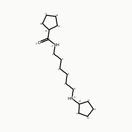 O=C(NCCCCCCNC1CCCC1)C1CCCC1